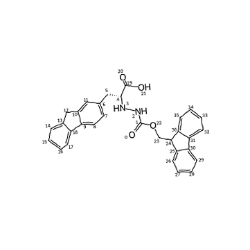 O=C(NN[C@H](Cc1ccc2c(c1)Cc1ccccc1-2)C(=O)O)OCC1c2ccccc2-c2ccccc21